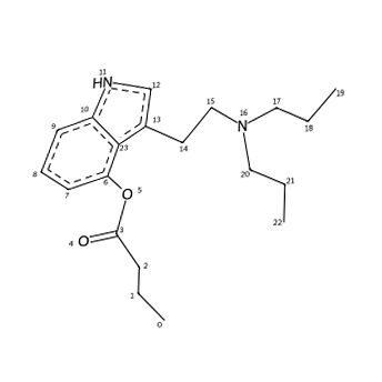 CCCC(=O)Oc1cccc2[nH]cc(CCN(CCC)CCC)c12